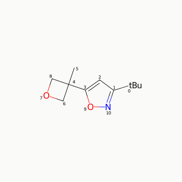 CC(C)(C)c1cc(C2(C)COC2)on1